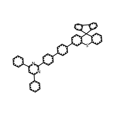 c1ccc(-c2cc(-c3ccccc3)nc(-c3ccc(-c4ccc(-c5ccc6c(c5)Sc5ccccc5C65c6ccccc6-c6ccccc65)cc4)cc3)n2)cc1